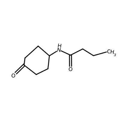 CCCC(=O)NC1CCC(=O)CC1